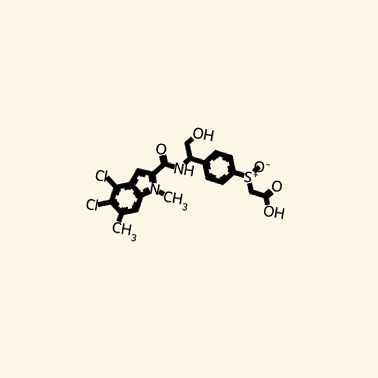 Cc1cc2c(cc(C(=O)NC(CO)c3ccc([S+]([O-])CC(=O)O)cc3)n2C)c(Cl)c1Cl